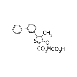 Cc1c(-c2cccc(-c3ccccc3)c2)sc(C(=O)O)c1OCC(=O)O